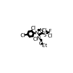 CCOC=Nc1c(SC(F)(Cl)Cl)ncn1-c1c(Cl)cc(Cl)cc1Cl